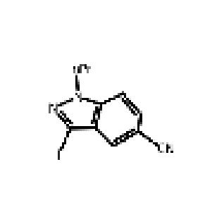 CCCn1nc(I)c2cc(C#N)ccc21